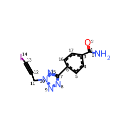 NC(=O)c1ccc(-c2nnn(CC#CI)n2)cc1